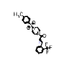 Cc1ccc(S(=O)(=O)N2CCN(C(=O)/C=C/c3ccccc3C(F)(F)F)CC2)cc1